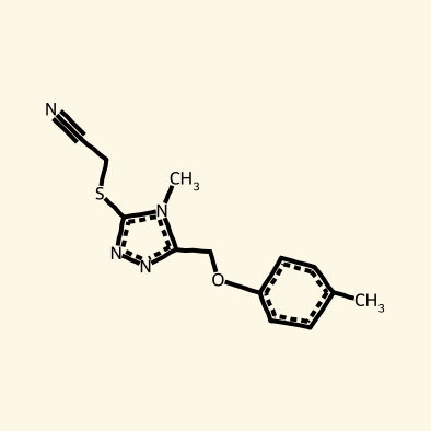 Cc1ccc(OCc2nnc(SCC#N)n2C)cc1